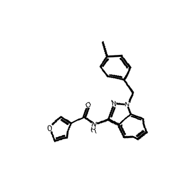 Cc1ccc(Cn2nc(NC(=O)c3ccoc3)c3ccccc32)cc1